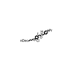 CCCCCCCCCCCCCCOc1ccc(CC(=O)NCc2cc[n+](CCC)cc2)cc1Cl.[I-]